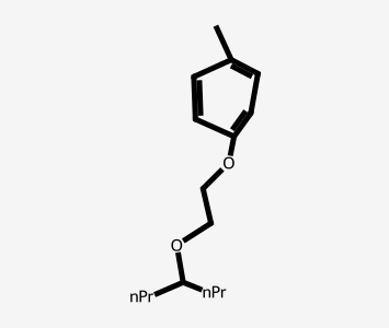 CCCC(CCC)OCCOc1ccc(C)cc1